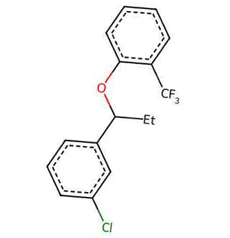 CCC(Oc1ccccc1C(F)(F)F)c1cccc(Cl)c1